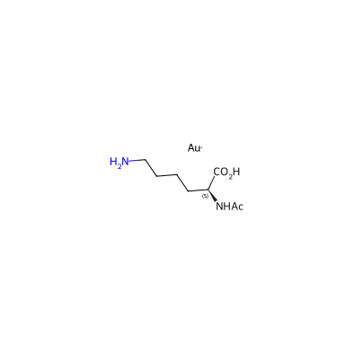 CC(=O)N[C@@H](CCCCN)C(=O)O.[Au]